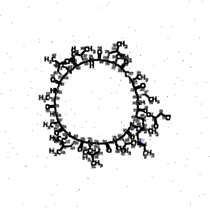 C/C=C/C[C@@H](C)[C@@H](OC(=O)CCl)[C@H]1C(=O)N[C@@H](CC)C(=O)N(C)CC(=O)N(C)[C@@H](CC(C)C)C(=O)N[C@@H](C(C)C)C(=O)N(C)[C@@H](CC(C)C)C(=O)N[C@@H](C)C(=O)N[C@H](C)C(=O)N(C)[C@@H](CC(C)C)C(=O)N(C)[C@@H](CC(C)C)C(=O)N(C)[C@@H](C(C)C)C(=O)N1C